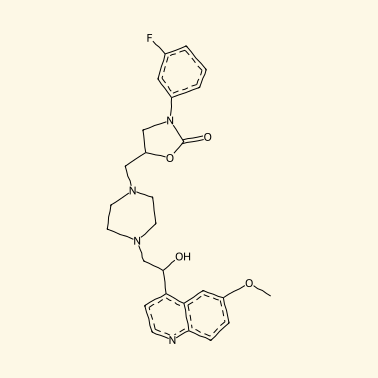 COc1ccc2nccc(C(O)CN3CCN(CC4CN(c5cccc(F)c5)C(=O)O4)CC3)c2c1